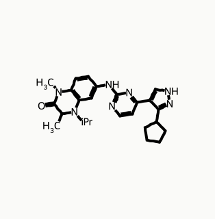 CC(C)N1c2cc(Nc3nccc(-c4c[nH]nc4C4CCCC4)n3)ccc2N(C)C(=O)C1C